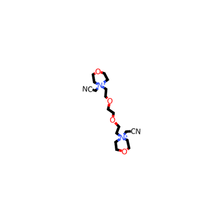 N#CC[N+]1(CCOCCOCC[N+]2(CC#N)CCOCC2)CCOCC1